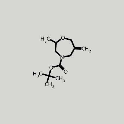 C=C1COC(C)CN(C(=O)OC(C)(C)C)C1